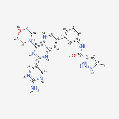 Cc1cc(C(=O)Nc2cccc(-c3cnc4c(N5CCOCC5)nc(-c5cnc(N)nc5)nc4c3)c2)[nH]n1